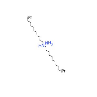 CC(C)CCCCCCCCCCNCCCCCCCCCCC(C)C.N